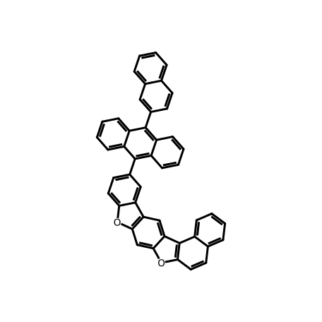 c1ccc2cc(-c3c4ccccc4c(-c4ccc5oc6cc7oc8ccc9ccccc9c8c7cc6c5c4)c4ccccc34)ccc2c1